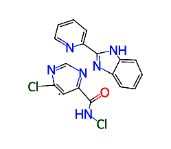 O=C(NCl)c1[c]c(Cl)ncn1.c1ccc(-c2nc3ccccc3[nH]2)nc1